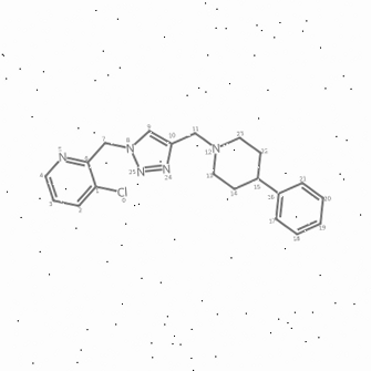 Clc1cccnc1Cn1cc(CN2CCC(c3ccccc3)CC2)nn1